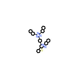 c1ccc2cc(-c3nc(-c4ccc(-c5cc6c7ccccc7sc6c6nc7cc8ccccc8cc7n56)cc4)nc(-c4ccc5ccccc5c4)n3)ccc2c1